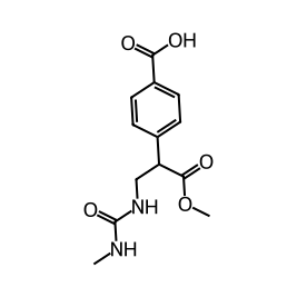 CNC(=O)NCC(C(=O)OC)c1ccc(C(=O)O)cc1